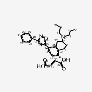 CCCN(CCC)C1CCc2cccc(-c3nc(-c4ccccc4)no3)c2C1.O=C(O)C=CC(=O)O